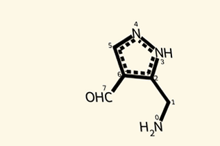 NCc1[nH]ncc1C=O